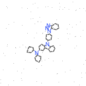 c1ccc(N(c2ccccc2)c2ccc3c(c2)c2ccccc2n3-c2ccc(-n3nnc4ccccc43)cc2)cc1